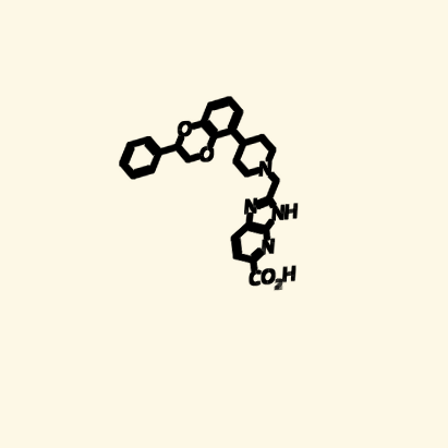 O=C(O)c1ccc2nc(CN3CCC(c4cccc5c4OCC(c4ccccc4)O5)CC3)[nH]c2n1